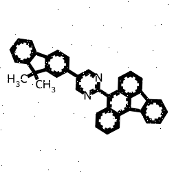 CC1(C)c2ccccc2-c2ccc(-c3cnc(-c4c5ccccc5c5c6c(cccc46)-c4ccccc4-5)nc3)cc21